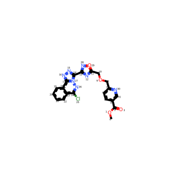 COC(=O)c1ccc(COCc2nc(-c3nnc4c5ccccc5c(Cl)nn34)no2)nc1